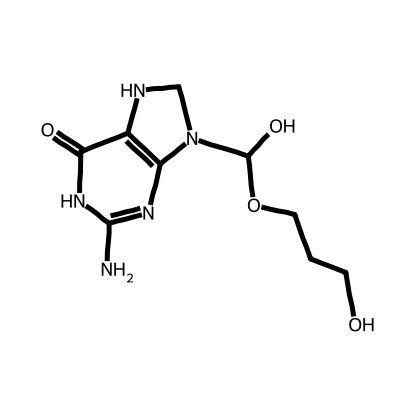 Nc1nc2c(c(=O)[nH]1)NCN2C(O)OCCCO